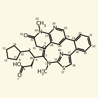 CN(C(=O)[C@@H](CC(=O)O)CC1CCCC1)c1nc(-c2ccccc2-c2cnc3c(c2)CCC(=O)N3C)cs1